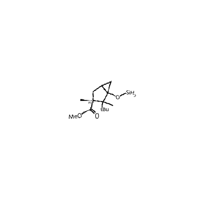 COC(=O)[C@]1(C)CC2CC2(O[SiH3])C1(C)C(C)(C)C